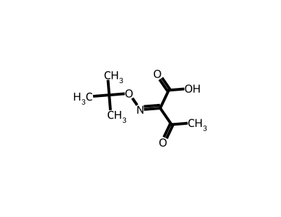 CC(=O)/C(=N/OC(C)(C)C)C(=O)O